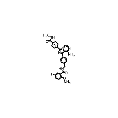 CNC(=O)C12CCC(c3nc(-c4ccc(CNC(=O)c5cc(F)ccc5OC)cc4)c4c(N)nccn34)(CC1)CC2